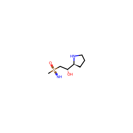 CS(=N)(=O)C[C@@H](O)[C@@H]1CCCN1